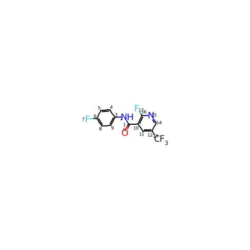 O=C(Nc1ccc(F)cc1)c1cc(C(F)(F)F)cnc1F